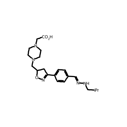 CC(C)CNN=Cc1ccc(C2=NOC(CN3CCN(CC(=O)O)CC3)C2)cc1